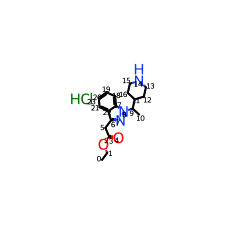 CCOC(=O)Cc1nn(C(C)C2CCNCC2)c2ccccc12.Cl